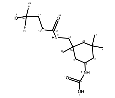 CC1(C)CC(NC(=O)O)CC(C)(CNC(=O)OCC(O)(F)F)C1